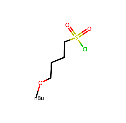 CCCCOCCCCS(=O)(=O)Cl